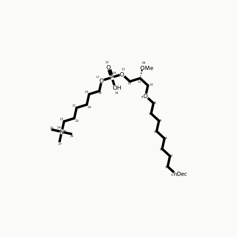 CCCCCCCCCCCCCCCCCCOC[C@H](COP(=O)(O)OCCCCCC[N+](C)(C)C)OC